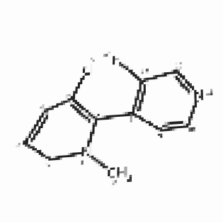 CN1CC=CC(Cl)=C1c1ccncc1F